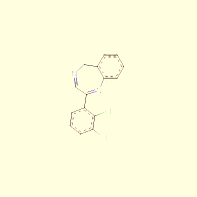 Clc1cccc(C2=Nc3ccccc3CN=C2)c1Cl